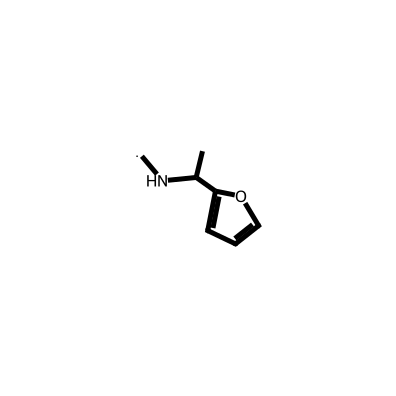 [CH2]NC(C)c1ccco1